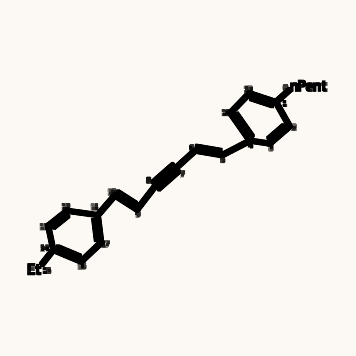 CCCCCc1ccc(C=CC#CC=Cc2ccc(CC)cc2)cc1